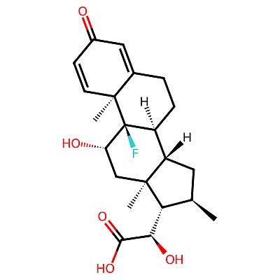 C[C@@H]1C[C@H]2[C@@H]3CCC4=CC(=O)C=C[C@]4(C)[C@@]3(F)[C@@H](O)C[C@]2(C)[C@H]1[C@@H](O)C(=O)O